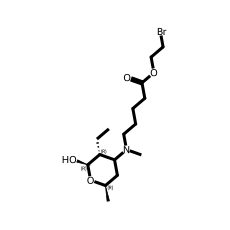 CC[C@@H]1C(N(C)CCCCC(=O)OCCBr)C[C@@H](C)O[C@H]1O